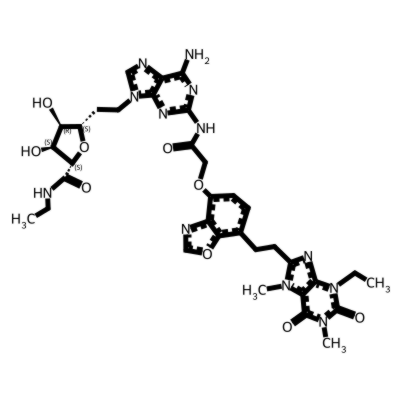 CCNC(=O)[C@H]1O[C@@H](CCn2cnc3c(N)nc(NC(=O)COc4ccc(CCc5nc6c(c(=O)n(C)c(=O)n6CC)n5C)c5ocnc45)nc32)[C@H](O)[C@@H]1O